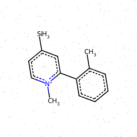 Cc1ccccc1-c1cc([SiH3])cc[n+]1C